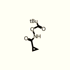 CC(C)(C)C(=O)ONC(=O)C1CC1